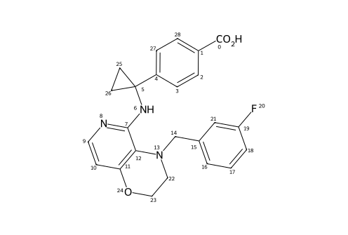 O=C(O)c1ccc(C2(Nc3nccc4c3N(Cc3cccc(F)c3)CCO4)CC2)cc1